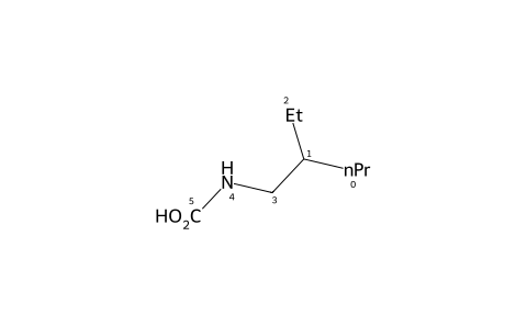 CCCC(CC)CNC(=O)O